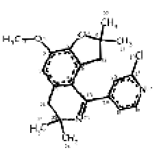 COc1cc2c(c3c1OC(C)(C)C3)C(c1ccnc(Cl)c1)=NC(C)(C)C2